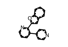 c1cnc(-c2cc3ccccc3o2)c(-c2ccncc2)c1